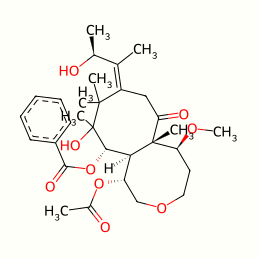 CO[C@H]1CCOC[C@H](OC(C)=O)[C@H]2[C@H](OC(=O)c3ccccc3)C(C)(O)C(C)(C)/C(=C(/C)[C@H](C)O)CC(=O)[C@@]21C